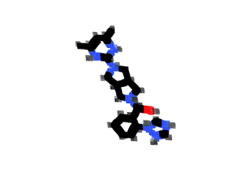 Cc1cc(C)nc(N2CC3CN(C(=O)c4ccccc4-n4cncn4)CC3C2)n1